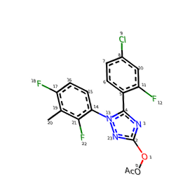 CC(=O)OOc1nc(-c2ccc(Cl)cc2F)n(-c2ccc(F)c(C)c2F)n1